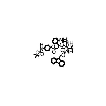 CC(C)[C@H](NC(=O)OCC1c2ccccc2-c2ccccc21)C(=O)N[C@@H](C)C(=O)Nc1ccccc1CCC(=O)O[C@H]1CC[C@H](NC(=O)OC(C)(C)C)CC1